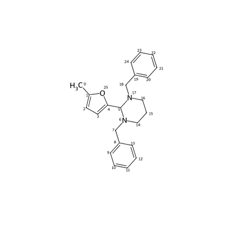 Cc1ccc(C2N(Cc3ccccc3)CCCN2Cc2ccccc2)o1